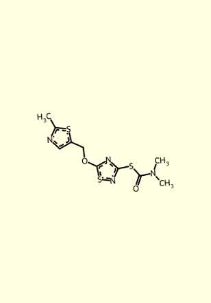 Cc1ncc(COc2nc(SC(=O)N(C)C)ns2)s1